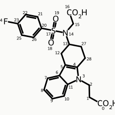 O=C(O)CCn1c2c(c3ccccc31)CC(N(CC(=O)O)S(=O)(=O)c1ccc(F)cc1)CC2